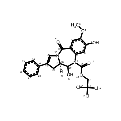 COc1cc2c(cc1O)N(C(=O)OCC(Cl)(Cl)Cl)C(O)[C@H]1CC(c3ccccc3)=CN1C2=O